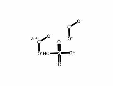 O=S(=O)(O)O.[O-]O[O-].[O-]O[O-].[Zr+4]